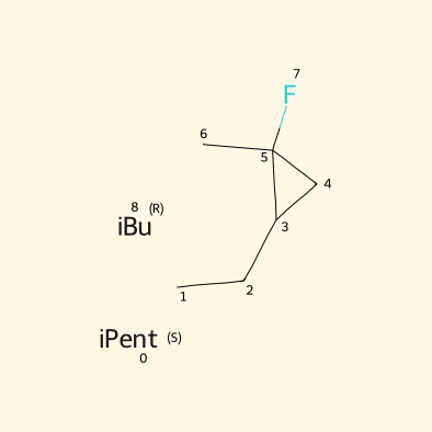 CCC[C@H](C)C(CC1CC1(C)F)[C@H](C)CC